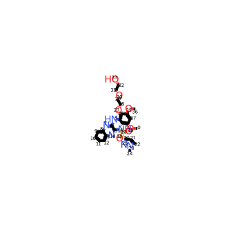 COc1cc(Nc2nc3ccccc3nc2NS(=O)(=O)c2ccn(C)n2)c(OCCOCCO)c(OC)c1